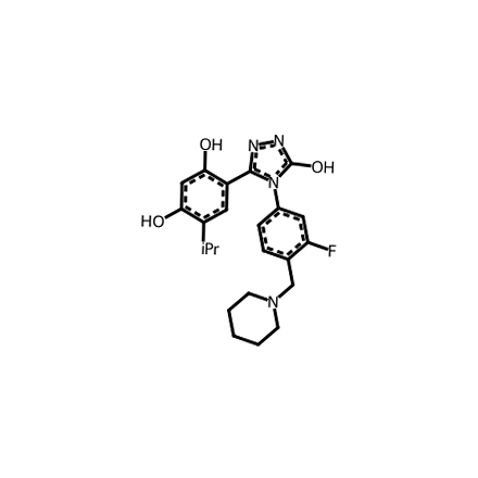 CC(C)c1cc(-c2nnc(O)n2-c2ccc(CN3CCCCC3)c(F)c2)c(O)cc1O